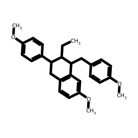 CCC1C(c2ccc(OC)cc2)Cc2ccc(OC)cc2C1Cc1ccc(OC)cc1